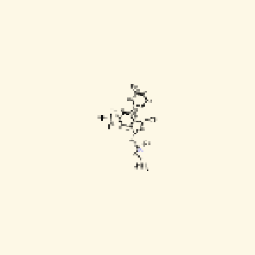 Cl.NC/C=C(\F)Cn1cnc2c(-c3cccc(F)c3)cc(C(F)(F)F)cc21